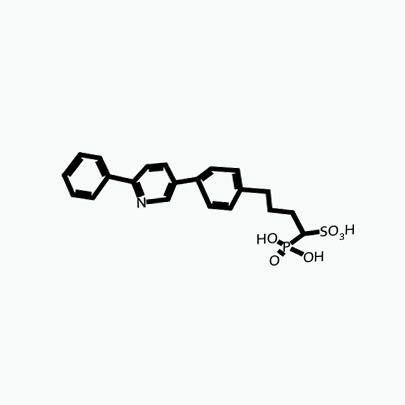 O=P(O)(O)C(CCCc1ccc(-c2ccc(-c3ccccc3)nc2)cc1)S(=O)(=O)O